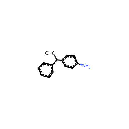 Nc1ccc(C(C=O)c2ccccc2)cc1